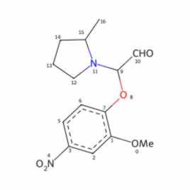 COc1cc([N+](=O)[O-])ccc1OC(C=O)N1CCCC1C